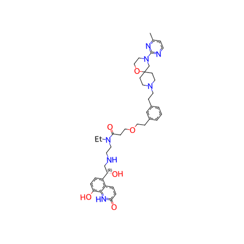 CCN(CCNC[C@H](O)c1ccc(O)c2[nH]c(=O)ccc12)C(=O)CCOCCc1cccc(CCN2CCC3(CC2)CN(c2nccc(C)n2)CCO3)c1